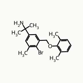 Cc1cc(C(C)(C)N)cc(COc2c(C)cccc2C)c1Br